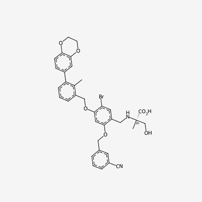 Cc1c(COc2cc(OCc3cccc(C#N)c3)c(CN[C@](C)(CO)C(=O)O)cc2Br)cccc1-c1ccc2c(c1)OCCO2